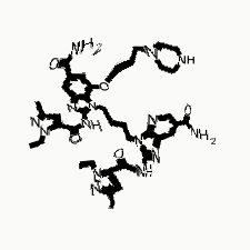 CCn1nc(C)cc1C(=O)Nc1nc2cc(C(N)=O)cnc2n1CCCCn1c(NC(=O)c2cc(C)nn2CC)nc2cc(C(N)=O)cc(OCCCN3CCNCC3)c21